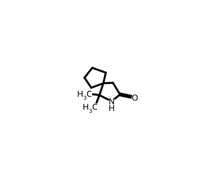 CC1(C)NC(=O)CC12CCCC2